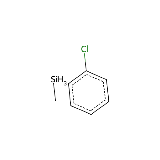 C[SiH3].Clc1ccccc1